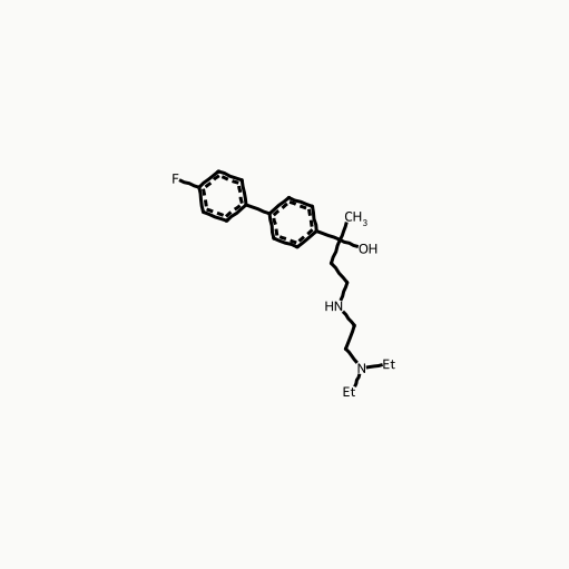 CCN(CC)CCNCCC(C)(O)c1ccc(-c2ccc(F)cc2)cc1